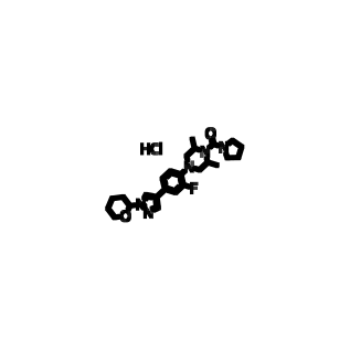 CC1CN(c2ccc(-c3cnn(C4CCCCO4)c3)cc2F)CC(C)N1C(=O)N1CCCC1.Cl